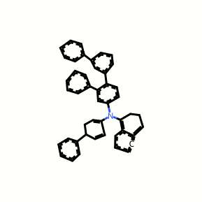 C1=CC(c2ccccc2)CC=C1N(C1=c2ccccc2=CCC1)c1ccc(-c2cccc(-c3ccccc3)c2)c(-c2ccccc2)c1